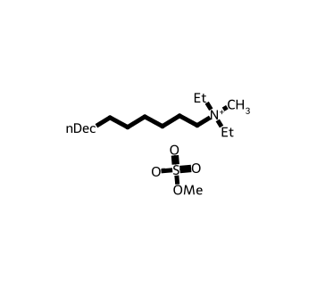 CCCCCCCCCCCCCCCC[N+](C)(CC)CC.COS(=O)(=O)[O-]